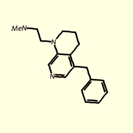 CNCCN1CCCc2c(Cc3ccccc3)cncc21